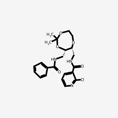 CC1(C)OCCO[C@H](CNC(=O)c2cccnc2Cl)[C@H](CNC(=O)c2ccccc2)O1